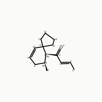 CC=CC(=O)[C@H]1[C@@H](C)CC=CC12CCCC2